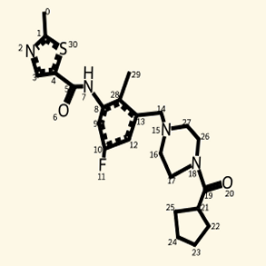 Cc1ncc(C(=O)Nc2cc(F)cc(CN3CCN(C(=O)C4CCCC4)CC3)c2C)s1